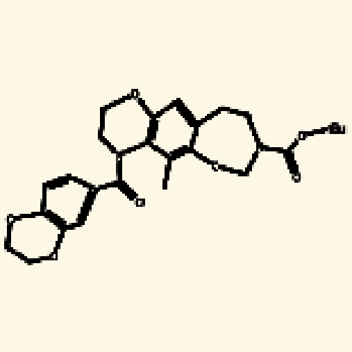 Cc1c2c(cc3c1N(C(=O)c1ccc4c(c1)OCCO4)CCO3)CCN(C(=O)OC(C)(C)C)CC2